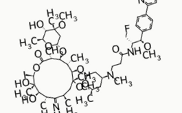 CO[C@H](c1ccc(-c2cnccn2)cc1)[C@@H](CF)NC(=O)CCN(C)[C@@H]1C[C@H](O[C@@H]2[C@@H](C)[C@H](O[C@H]3C[C@@](C)(OC)[C@@H](O)[C@H](C)O3)[C@@H](C)C(=O)O[C@H](I)[C@@](C)(O)[C@H](O)[C@@H](C)C(=N)[C@H](C)C[C@@]2(C)OC)O[C@H](C)C1